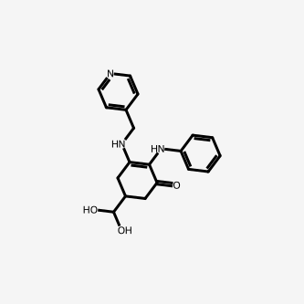 O=C1CC(C(O)O)CC(NCc2ccncc2)=C1Nc1ccccc1